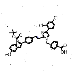 COc1ccc2c(c1)cc(-c1ccc(/C=C/c3nc(-c4ccc(Cl)cc4Cl)cn3Cc3ccc(C(=O)O)cc3)cc1)n2C(=O)OC(C)(C)C